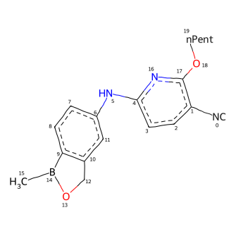 [C-]#[N+]c1ccc(Nc2ccc3c(c2)COB3C)nc1OCCCCC